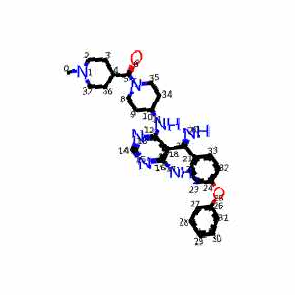 CN1CCC(C(=O)N2CCC(Nc3ncnc(N)c3C(=N)c3ccc(Oc4ccccc4)cc3)CC2)CC1